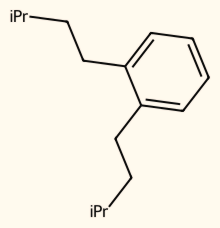 CC(C)CCc1ccccc1CCC(C)C